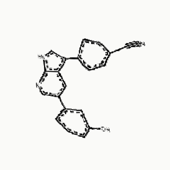 N#Cc1ccc(-c2c[nH]c3ncc(-c4cccc(O)c4)cc23)cc1